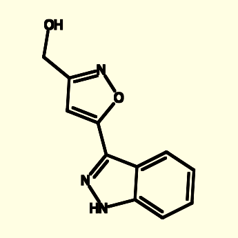 OCc1cc(-c2n[nH]c3ccccc23)on1